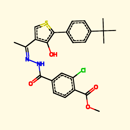 COC(=O)c1ccc(C(=O)NN=C(C)c2csc(-c3ccc(C(C)(C)C)cc3)c2O)cc1Cl